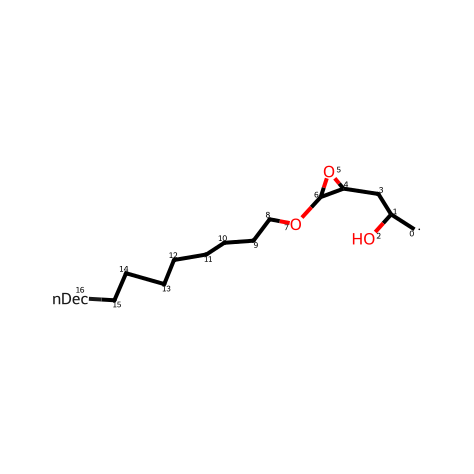 [CH2]C(O)CC1OC1OCCCCCCCCCCCCCCCCCC